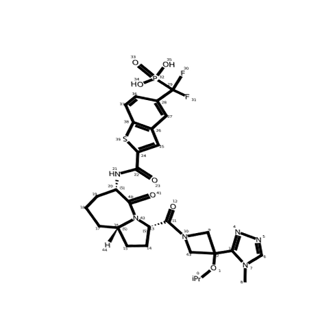 CC(C)OC1(c2nncn2C)CN(C(=O)[C@@H]2CC[C@@H]3CCC[C@H](NC(=O)c4cc5cc(C(F)(F)P(=O)(O)O)ccc5s4)C(=O)N32)C1